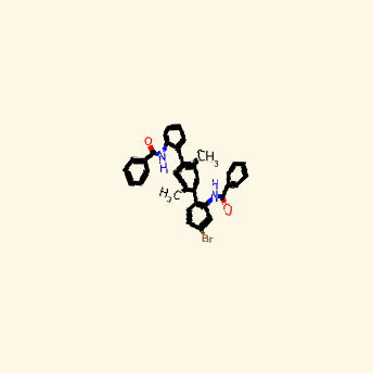 Cc1cc(-c2ccc(Br)cc2NC(=O)c2ccccc2)c(C)cc1-c1ccccc1NC(=O)c1ccccc1